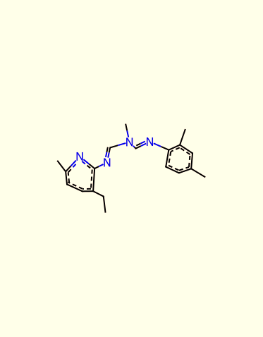 CCc1ccc(C)nc1N=CN(C)C=Nc1ccc(C)cc1C